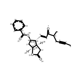 CC#CCC(C)C(=O)C=C[C@@H]1[C@H]2CC(=O)O[C@H]2C[C@H]1OC(=O)c1ccccc1